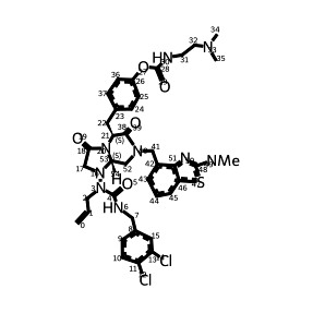 C=CCN(C(=O)NCc1ccc(Cl)c(Cl)c1)N1CC(=O)N2[C@@H](Cc3ccc(OC(=O)NCCN(C)C)cc3)C(=O)N(Cc3cccc4sc(NC)nc34)C[C@@H]21